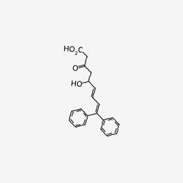 O=C(O)CC(=O)CC(O)C=CC=C(c1ccccc1)c1ccccc1